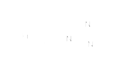 CC(C)C(C)C1CCN(c2ncccn2)CC1